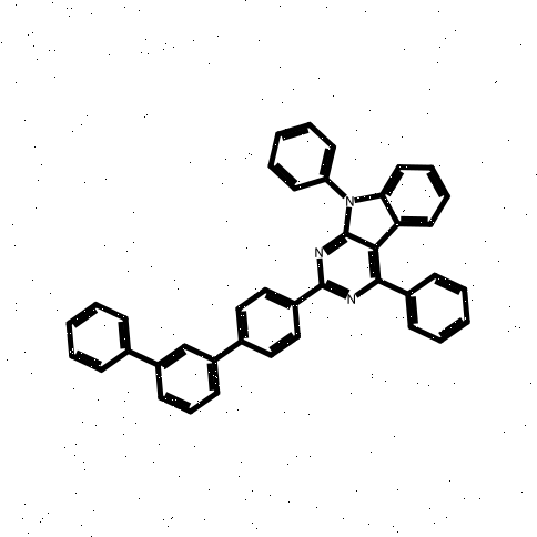 c1ccc(-c2cccc(-c3ccc(-c4nc(-c5ccccc5)c5c6ccccc6n(-c6ccccc6)c5n4)cc3)c2)cc1